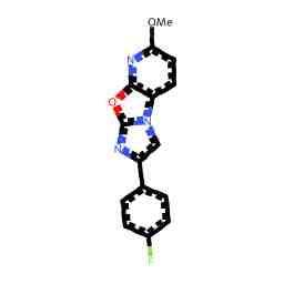 COc1ccc2c(n1)oc1nc(-c3ccc(F)cc3)cn12